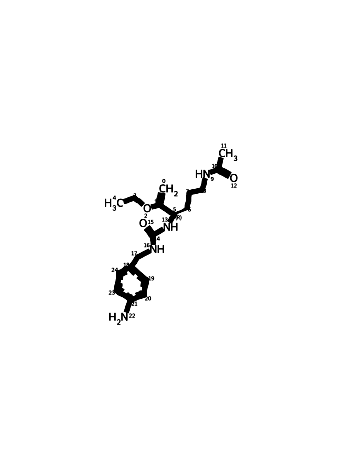 C=C(OCC)[C@@H](CCCNC(C)=O)NC(=O)NCc1ccc(N)cc1